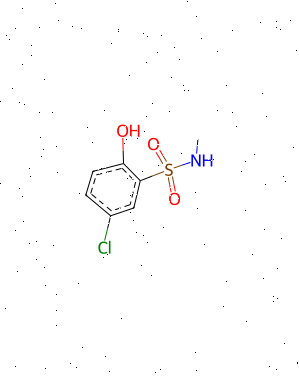 CNS(=O)(=O)c1cc(Cl)ccc1O